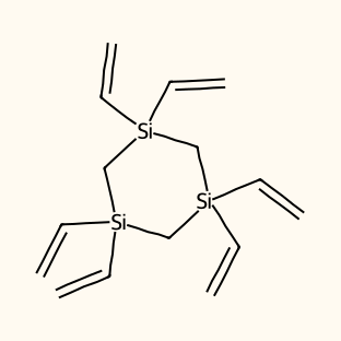 C=C[Si]1(C=C)C[Si](C=C)(C=C)C[Si](C=C)(C=C)C1